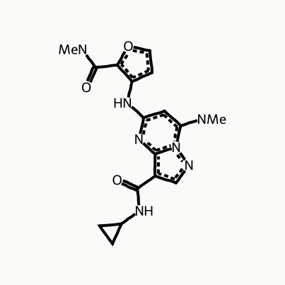 CNC(=O)c1occc1Nc1cc(NC)n2ncc(C(=O)NC3CC3)c2n1